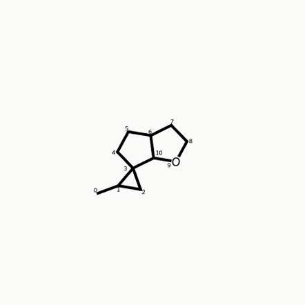 CC1CC12CCC1CCOC12